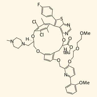 COCCOCCOc1ccc(-c2ccccc2OC)nc1COc1ccc2cc1C[C@H](C(=O)OC(C)(C)C)Oc1ncnc3sc(-c4ccc(F)cc4)c(c13)-c1c(C)c(Cl)c(c(Cl)c1C)O[C@H](CN1CCN(C)CC1)CO2